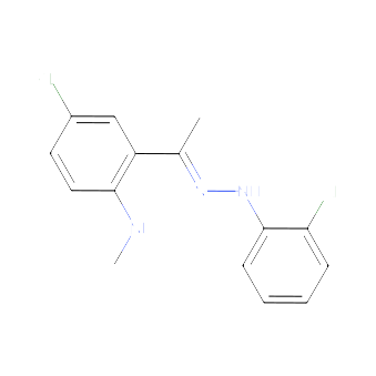 CNc1ccc(Cl)cc1/C(C)=N/Nc1ccccc1Cl